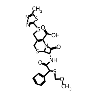 COCSC(C(=O)N[C@H]1C(=O)N2C(C(=O)O)=C(CSc3nnc(C)s3)CSC12)c1ccccc1